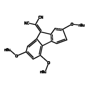 CCCCOc1ccc2c(c1)C(=C(C#N)C#N)c1cc(OCCCC)cc(OCCCC)c1-2